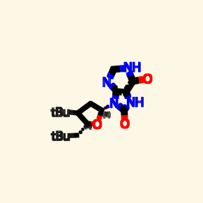 CC(C)(C)C[C@H]1O[C@@H](n2c(=O)[nH]c3c(=O)[nH]cnc32)CC1C(C)(C)C